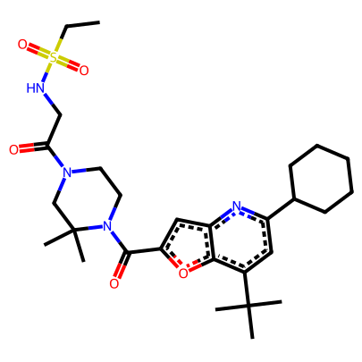 CCS(=O)(=O)NCC(=O)N1CCN(C(=O)c2cc3nc(C4CCCCC4)cc(C(C)(C)C)c3o2)C(C)(C)C1